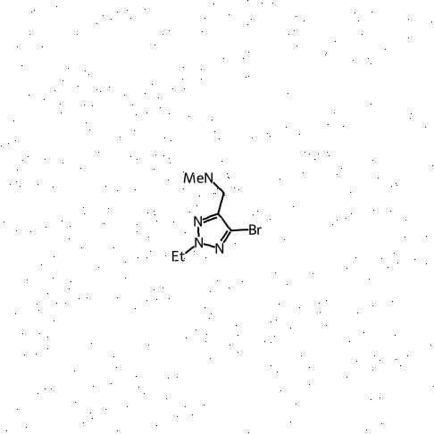 CCn1nc(Br)c(CNC)n1